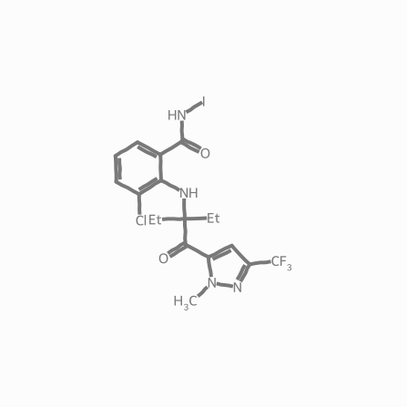 CCC(CC)(Nc1c(Cl)cccc1C(=O)NI)C(=O)c1cc(C(F)(F)F)nn1C